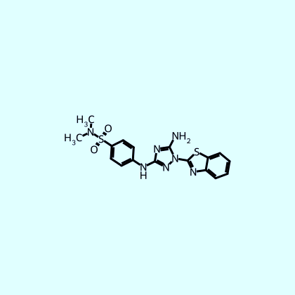 CN(C)S(=O)(=O)c1ccc(Nc2nc(N)n(-c3nc4ccccc4s3)n2)cc1